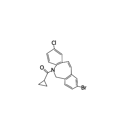 O=C(C1CC1)N1Cc2ccc(Br)cc2/C=C\c2cc(Cl)ccc21